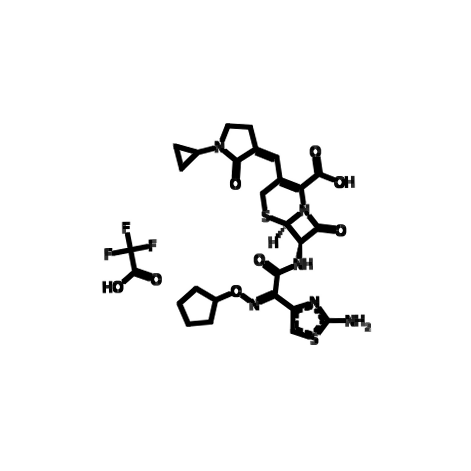 Nc1nc(/C(=N/OC2CCCC2)C(=O)N[C@@H]2C(=O)N3C(C(=O)O)=C(/C=C4/CCN(C5CC5)C4=O)CS[C@H]23)cs1.O=C(O)C(F)(F)F